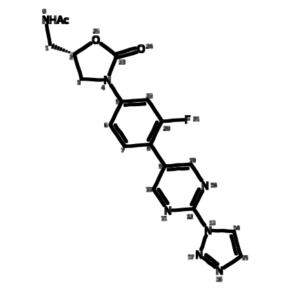 CC(=O)NC[C@H]1CN(c2ccc(-c3cnc(-n4ccnn4)nc3)c(F)c2)C(=O)O1